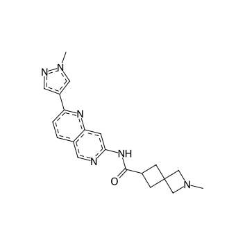 CN1CC2(CC(C(=O)Nc3cc4nc(-c5cnn(C)c5)ccc4cn3)C2)C1